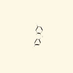 Nc1ccc(Nc2ccc([N+](=O)[O-])cc2)c(S(=O)(=O)O)c1